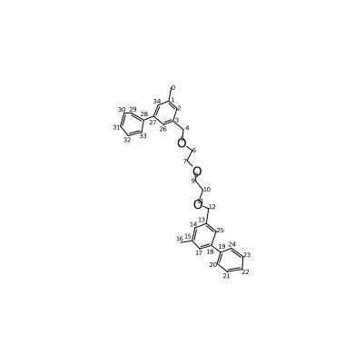 Cc1cc(COCCOCCOCc2cc(C)cc(-c3ccccc3)c2)cc(-c2ccccc2)c1